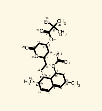 CC[C@H](C)C(=O)O[C@H]1C[C@@H](C)C=C2C=C[C@H](C)[C@H](CCC3C[C@@H](OC(=O)C(C)(C)CC)CC(=O)O3)C21